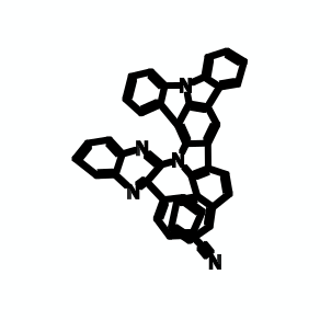 N#Cc1ccc(-c2nc3ccccc3nc2-n2c3c4ccccc4ccc3c3cc4c5ccccc5n5c6ccccc6c(c32)c45)cc1